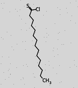 CCCCCCCCCCCCCCC(=S)Cl